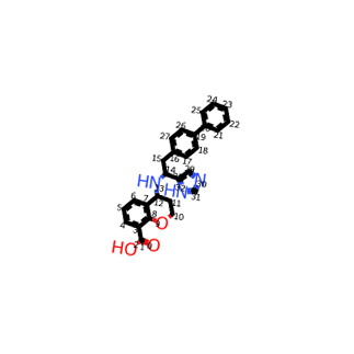 O=C(O)c1cccc2c1OCCC2NC(Cc1ccc(-c2ccccc2)cc1)c1cnc[nH]1